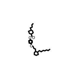 CCCCCCCC1CCCCC1CCCOc1ccc(OC(=O)C2CCC(CCCC)CC2)cc1